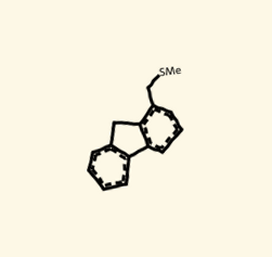 CSCc1cccc2c1Cc1ccccc1-2